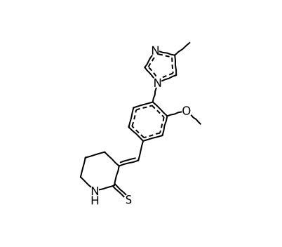 COc1cc(/C=C2\CCCNC2=S)ccc1-n1cnc(C)c1